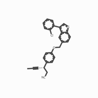 CC#C[C@@H](CC#N)c1ccc(OCc2ccc3scc(-c4ccccc4Cl)c3c2)cc1